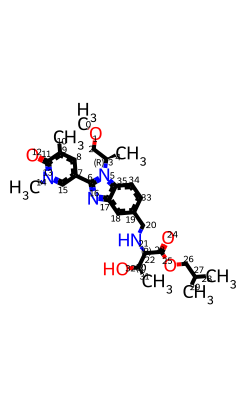 COC[C@@H](C)n1c(-c2cc(C)c(=O)n(C)c2)nc2cc(CN[C@@H](C(=O)OCC(C)C)[C@@H](C)O)ccc21